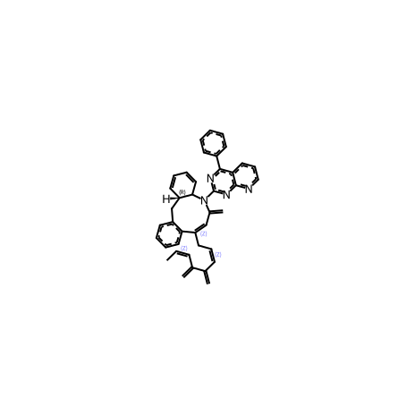 C=C(/C=C\C)C(=C)/C=C\C/C1=C/C(=C)N(c2nc(-c3ccccc3)c3cccnc3n2)C2C=CC=C[C@H]2Cc2ccccc21